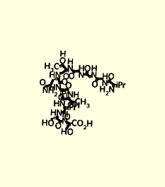 CC(C)[C@H](N)C(=O)NCC(=O)NCC(=O)NCC(=O)N[C@H](C(=O)N[C@@H](CCC(N)=O)C(=O)N[C@H](C(=O)N[C@H](C(=O)N[C@H](C(=O)N[C@@H](CO)C(=O)N[C@@H](CO)C(=O)O)C(C)C)[C@@H](C)O)C(C)C)[C@@H](C)O